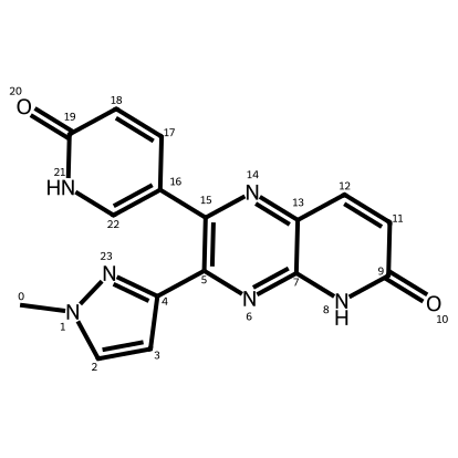 Cn1ccc(-c2nc3[nH]c(=O)ccc3nc2-c2ccc(=O)[nH]c2)n1